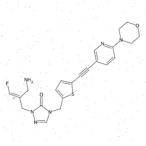 NC/C(=C\F)Cn1ncn(Cc2ccc(C#Cc3ccc(N4CCOCC4)nc3)s2)c1=O